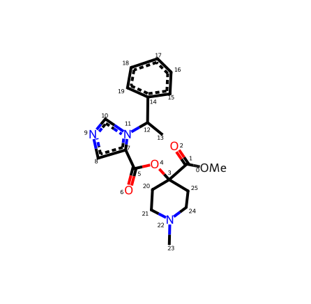 COC(=O)C1(OC(=O)c2cncn2C(C)c2ccccc2)CCN(C)CC1